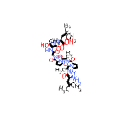 CC(C)C[C@H](NC(=O)[C@@H](NC(=O)CNC(=O)[C@@H]1CCCN1C(=O)[C@H](C)NC(=O)[C@@H]1CCCN1C(=O)[C@H](C)NC(=O)[C@@H](N)CC(C)C)[C@@H](C)O)C(=O)O